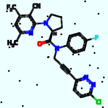 Cc1cc(C(F)(F)F)c(C#N)c(N2CCC[C@H]2C(=O)N(CC#Cc2ccc(Cl)nn2)c2ccc(F)cc2)n1